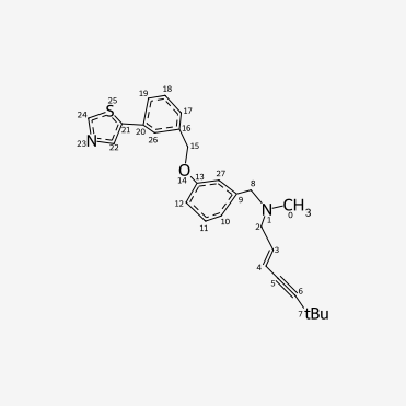 CN(CC=CC#CC(C)(C)C)Cc1cccc(OCc2cccc(-c3cncs3)c2)c1